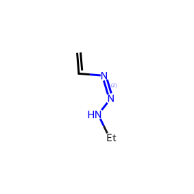 C=C/N=N\NCC